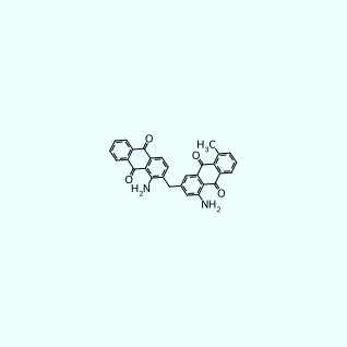 Cc1cccc2c1C(=O)c1cc(Cc3ccc4c(c3N)C(=O)c3ccccc3C4=O)cc(N)c1C2=O